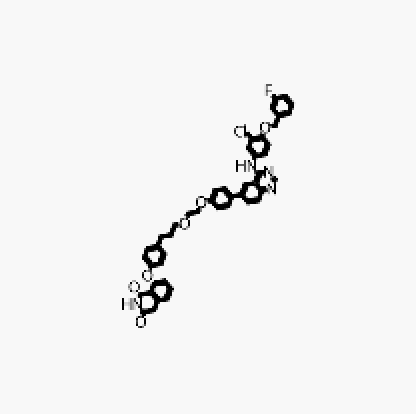 O=C1Cc2cccc(Oc3ccc(CCCOCCOc4ccc(-c5ccc6ncnc(Nc7ccc(OCc8cccc(F)c8)c(Cl)c7)c6c5)cc4)cc3)c2C(=O)N1